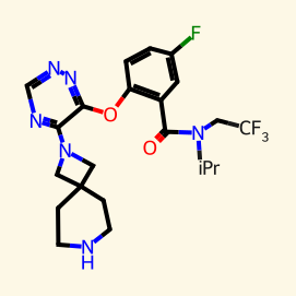 CC(C)N(CC(F)(F)F)C(=O)c1cc(F)ccc1Oc1nncnc1N1CC2(CCNCC2)C1